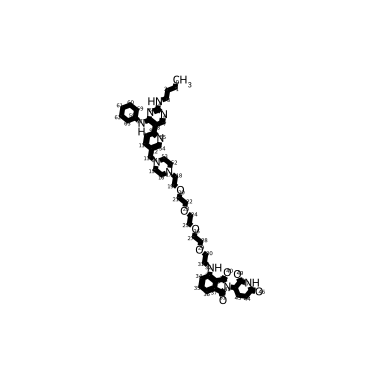 CCCCNc1ncc(-c2ccc(CN3CCN(CCOCCOCCOCCOCCNc4cccc5c4C(=O)N(C4CCC(=O)NC4=O)C5=O)CC3)cn2)c(NC2CCCCC2)n1